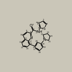 O=C(Nc1nccs1)c1ccc2cccc(-c3cccc(N4CCCC4)c3)c2n1